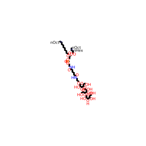 CCCCCCCC/C=C\CCCCCCCC(=O)O[C@H](COC(=O)C(/C=C\CCCCCCCC)CCCCCC)COP(C)(=O)OCCNC(=O)CCCCC(=O)NCCCO[C@@H]1OC(CO)[C@@H](O[C@@H]2OC(CO)[C@H](O[C@H]3OC(CO)[C@H](O)[C@H](O)C3O)[C@H](O)C2O)[C@H](O)C1O